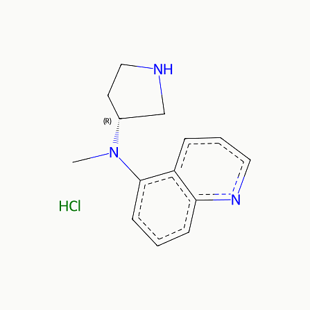 CN(c1cccc2ncccc12)[C@@H]1CCNC1.Cl